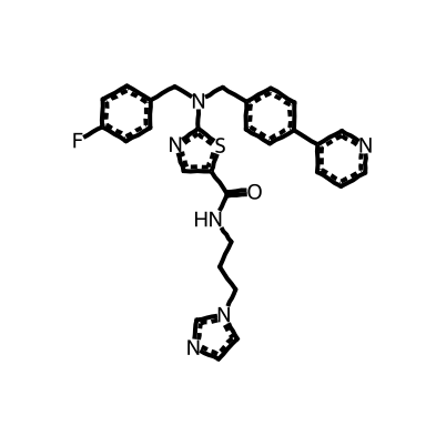 O=C(NCCCn1ccnc1)c1cnc(N(Cc2ccc(F)cc2)Cc2ccc(-c3cccnc3)cc2)s1